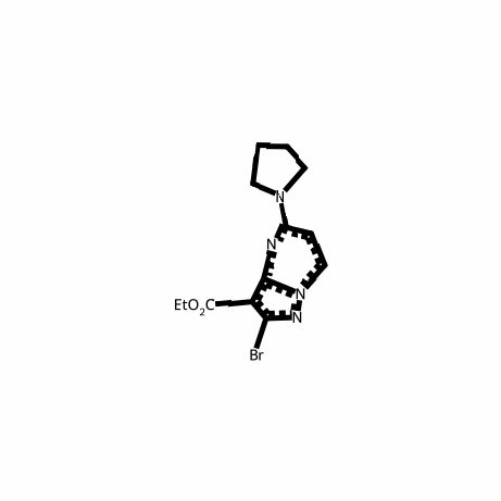 CCOC(=O)c1c(Br)nn2ccc(N3CCCC3)nc12